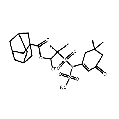 CC1(C)CC(=O)C=C(N(S(=O)(=O)C(F)(F)F)S(=O)(=O)C(F)(F)C(OC(=O)C23CC4CC(CC(C4)C2)C3)C(F)(F)F)C1